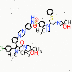 Cc1cc(S(=O)(=O)Nc2ccc(N3CCN(c4cccc(-c5c(C(=O)N6CCC(C)(O)CC6)c(C)n(C)c5-c5ccc(Cl)cc5)c4)CC3)cc2)ccc1N[C@H](CCN1CC(C)(O)C1)CSc1ccccc1